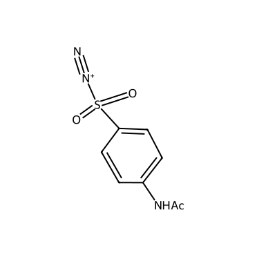 CC(=O)Nc1ccc(S(=O)(=O)[N+]#N)cc1